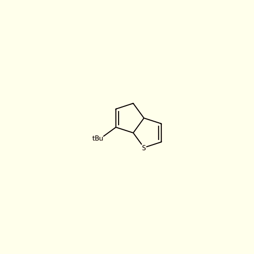 CC(C)(C)C1=CCC2C=CSC12